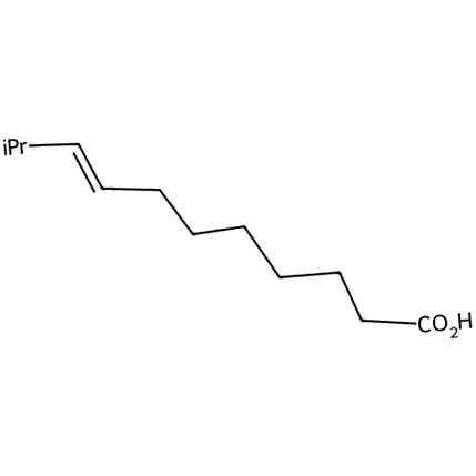 CC(C)C=CCCCCCCC(=O)O